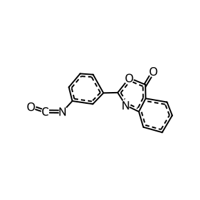 O=C=Nc1cccc(-c2nc3ccccc3c(=O)o2)c1